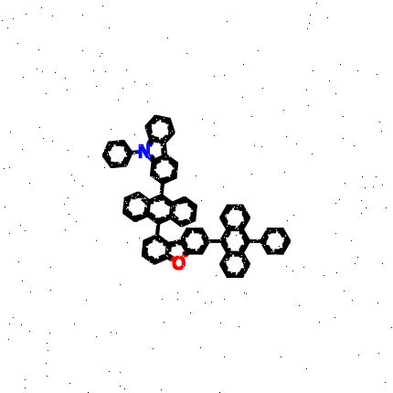 c1ccc(-c2c3ccccc3c(-c3ccc4c(c3)oc3cccc(-c5c6ccccc6c(-c6ccc7c8ccccc8n(-c8ccccc8)c7c6)c6ccccc56)c34)c3ccccc23)cc1